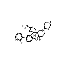 NC1=N[C@]2(CO1)c1cc(-c3cccnc3F)ccc1O[C@H]1CCN(C3CCOCC3)C[C@@H]12